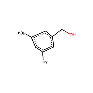 CCCCc1cc(CO)cc(C(C)C)c1